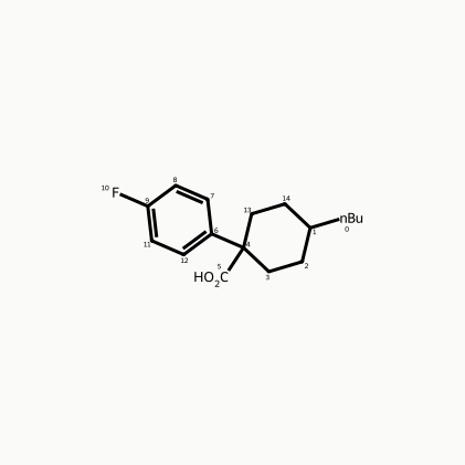 CCCCC1CCC(C(=O)O)(c2ccc(F)cc2)CC1